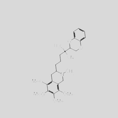 COc1c2c(c(OC)c(OC)c1OC)CN(C)C(CCCC(C)(C#N)C1COc3ccccc3O1)C2